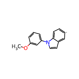 COc1cccc(-n2ccc3c[c]ccc32)c1